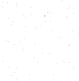 CO[C@@H]1CSc2c(-c3cc(Cl)c(F)cc3F)c(C(F)(F)F)cc3c(N4CCN(C(C)=O)C[C@@H]4C)nc(=O)n(c23)C1